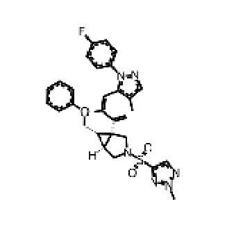 C=C(/C(C)=C\c1c(C)cnn1-c1ccc(F)cc1)[C@]12CN(S(=O)(=O)c3cnn(C)n3)C[C@H]1[C@@H]2COc1ccccc1